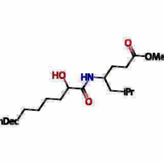 CCCCCCCCCCCCCCC(O)C(=O)NC(CCC(=O)OC)CC(C)C